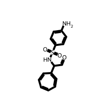 Nc1ccc(S(=O)(=O)NC(C=O)C2=C=CC=CC=C2)cc1